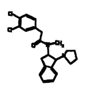 CN(C(=O)Cc1ccc(Cl)c(Cl)c1)C1Cc2ccccc2C1N1CCCC1